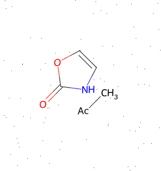 CC(C)=O.O=c1[nH]cco1